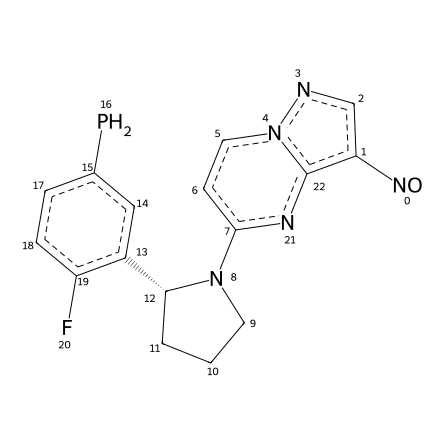 O=Nc1cnn2ccc(N3CCC[C@@H]3c3cc(P)ccc3F)nc12